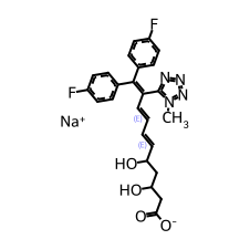 Cn1nnnc1C(/C=C/C=C/C(O)CC(O)CC(=O)[O-])=C(c1ccc(F)cc1)c1ccc(F)cc1.[Na+]